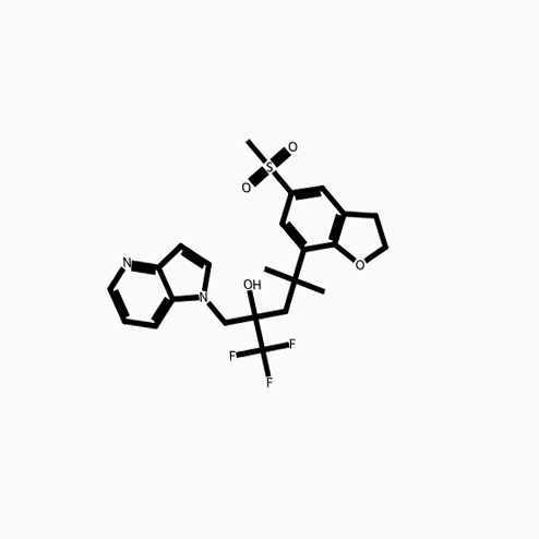 CC(C)(CC(O)(Cn1ccc2ncccc21)C(F)(F)F)c1cc(S(C)(=O)=O)cc2c1OCC2